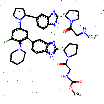 CC(C)(C)OC(=O)NCC(=O)N1CCC[C@H]1c1nc2cc(-c3cc(N4CCCC4c4ccc5[nH]c([C@@H]6CCCN6C(=O)CNC(=O)O)nc5c4)cc(F)c3N3CCCCC3)ccc2[nH]1